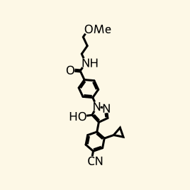 COCCCNC(=O)c1ccc(-n2ncc(-c3ccc(C#N)cc3C3CC3)c2O)cc1